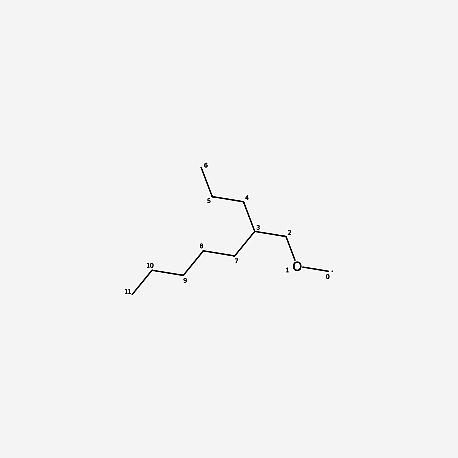 [CH2]OCC(CCC)CCCCC